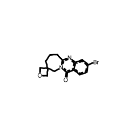 O=c1c2ccc(Br)cc2nc2n1CC1(CCC2)COC1